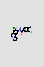 CC(=O)c1cc(C(=O)Nc2ccc3c(c2)C2CCCN2CC3)ccc1C(C)C.Cl